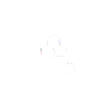 O=C(O)c1ccnc2[nH]c(-c3cccs3)nc12